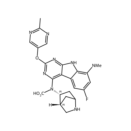 CNc1cc(F)cc2c1[nH]c1nc(Oc3cnc(C)nc3)nc(N(C(=O)O)[C@@H]3CC4C[C@@H]3CN4)c12